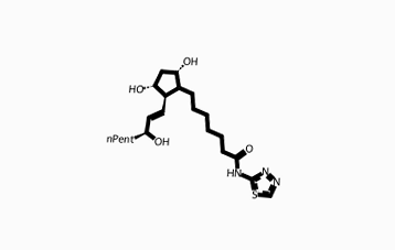 CCCCC[C@H](O)/C=C/[C@@H]1C(CCCCCCC(=O)Nc2nncs2)[C@@H](O)C[C@H]1O